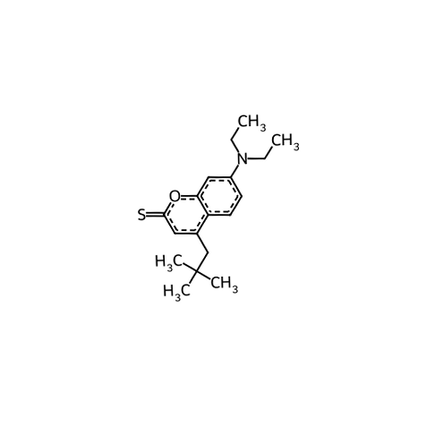 CCN(CC)c1ccc2c(CC(C)(C)C)cc(=S)oc2c1